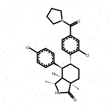 C[C@H]1NC(=O)[C@]2(C)CC[C@@H](c3ccc(C(=O)N4CCCC4)cc3Cl)[C@H](c3ccc(Cl)cc3)[C@H]12